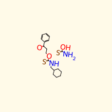 NC(O)=S.O=C(CCOC(=S)NCC1CCCCC1)c1ccccc1